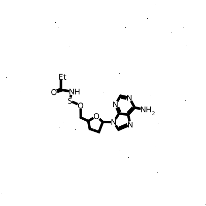 CCC(=O)NSOCC1CCC(n2cnc3c(N)ncnc32)O1